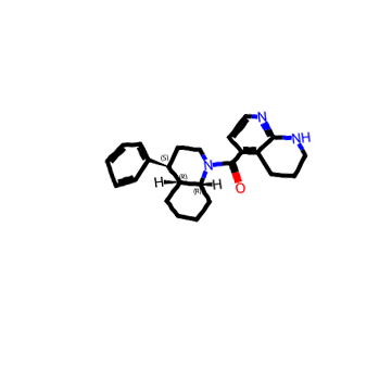 O=C(c1ccnc2c1CCCN2)N1CC[C@H](c2ccccc2)[C@H]2CCCC[C@H]21